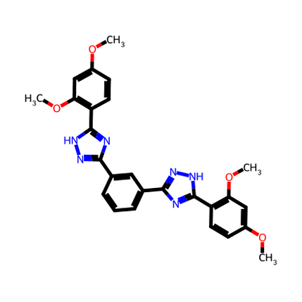 COc1ccc(-c2nc(-c3cccc(-c4n[nH]c(-c5ccc(OC)cc5OC)n4)c3)n[nH]2)c(OC)c1